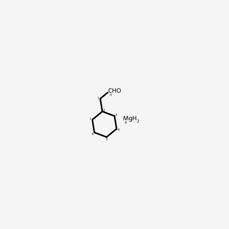 O=CCC1CCCCC1.[MgH2]